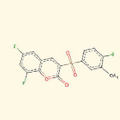 Cc1cc(S(=O)(=O)c2cc3cc(F)cc(F)c3oc2=O)ccc1F